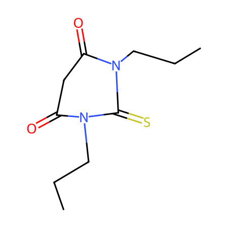 CCCN1C(=O)CC(=O)N(CCC)C1=S